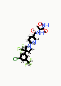 O=C(NC1CONC1=O)c1ccc(N2CCC(c3cc(Cl)cc(C(F)(F)F)c3)(C(F)(F)F)C2)nc1